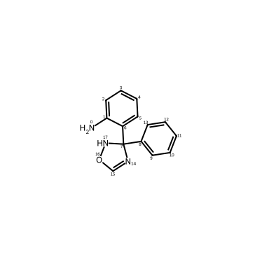 Nc1ccccc1C1(c2ccccc2)N=CON1